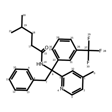 Cc1ccnc(C(Cc2ccccc2)(NC(=O)CCC(C)C)c2cccc(C(F)(F)F)c2)c1